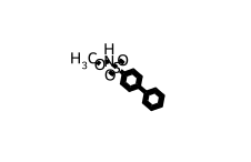 CONS(=O)(=O)c1ccc(-c2ccccc2)cc1